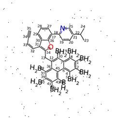 Bc1c(B)c(B)c2c(c1B)c(B)c(Cc1oc3c(-c4ccc(C(C)C)cn4)cccc3c1/C=C\C#C)c1c(B)c(B)c(B)c(B)c12